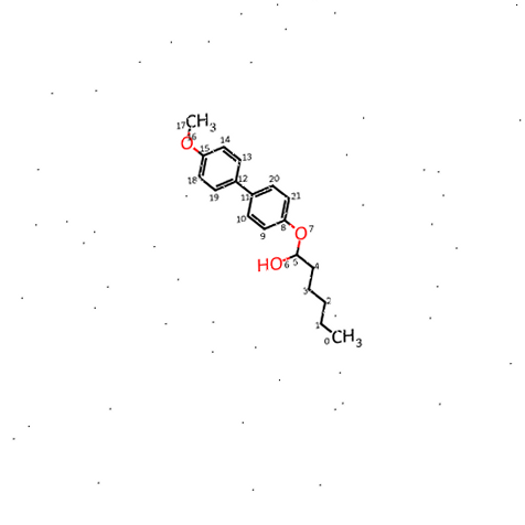 CCCCCC(O)Oc1ccc(-c2ccc(OC)cc2)cc1